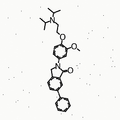 COc1cc(N2Cc3ccc(-c4ccccc4)cc3C2=O)ccc1OCCN(C(C)C)C(C)C